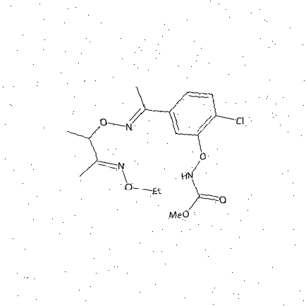 CCON=C(C)C(C)ON=C(C)c1ccc(Cl)c(ONC(=O)OC)c1